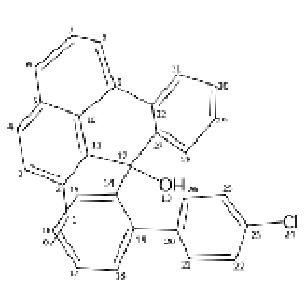 CCc1ccc2cccc3c2c1C(O)(c1ccccc1-c1ccc(Cl)cc1)c1ccccc1-3